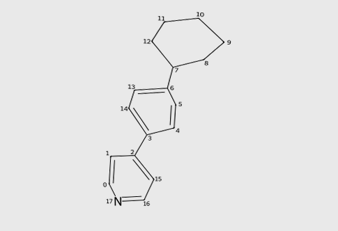 c1cc(-c2ccc(C3CCCCC3)cc2)ccn1